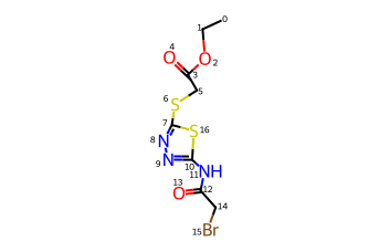 CCOC(=O)CSc1nnc(NC(=O)CBr)s1